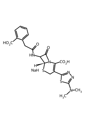 CN(C)c1nnc(C2=C(C(=O)O)N3C(=O)C(NC(=O)Cc4ccccc4C(=O)O)[C@H]3SC2)s1.[NaH]